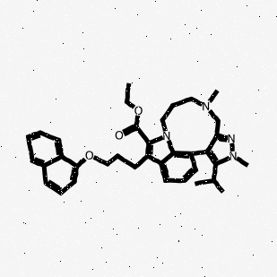 CCOC(=O)c1c(CCCOc2cccc3ccccc23)c2cccc3c2n1CCCN(C)Cc1nn(C)c(C(C)C)c1-3